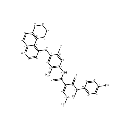 CCN(C(=O)/C(=C\NC=O)C(=O)Nc1cc(F)c(Oc2ccnc3ccc4c(c23)OCCO4)cc1C)c1ccc(F)cc1